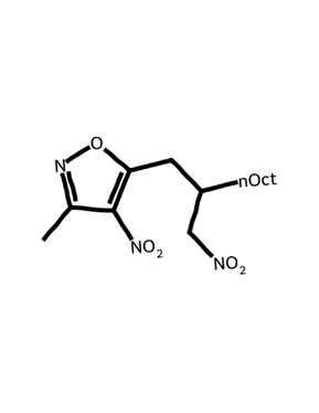 CCCCCCCCC(Cc1onc(C)c1[N+](=O)[O-])C[N+](=O)[O-]